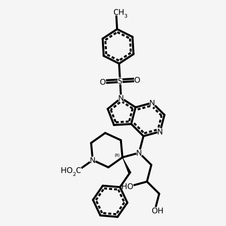 Cc1ccc(S(=O)(=O)n2ccc3c(N(CC(O)CO)[C@@]4(Cc5ccccc5)CCCN(C(=O)O)C4)ncnc32)cc1